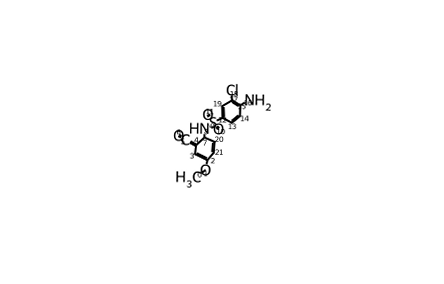 COC1=CC(=C=O)C(NS(=O)(=O)c2ccc(N)c(Cl)c2)C=C1